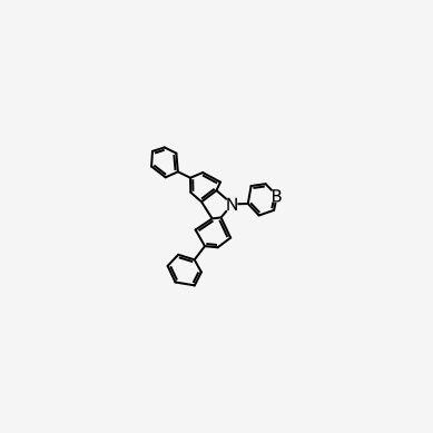 b1ccc(-n2c3ccc(-c4ccccc4)cc3c3cc(-c4ccccc4)ccc32)cc1